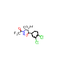 O=C(C[C@H](NC(=O)C(F)(F)F)C(=O)O)c1ccc(Cl)c(Cl)c1